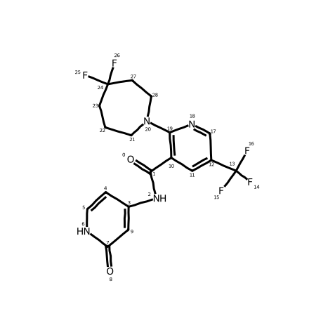 O=C(Nc1cc[nH]c(=O)c1)c1cc(C(F)(F)F)cnc1N1CCCC(F)(F)CC1